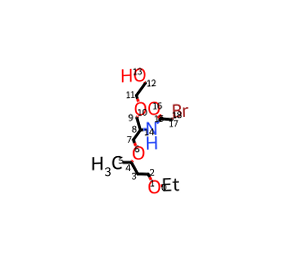 CCOCCC(C)OCC(COCCO)NC(=O)CBr